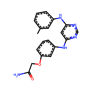 Cc1cccc(Nc2cc(Nc3cccc(OCC(N)=O)c3)ncn2)c1